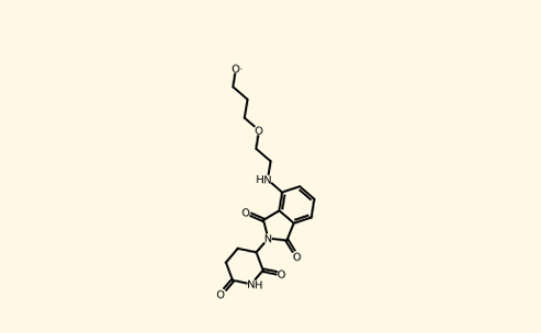 [O]CCCOCCNc1cccc2c1C(=O)N(C1CCC(=O)NC1=O)C2=O